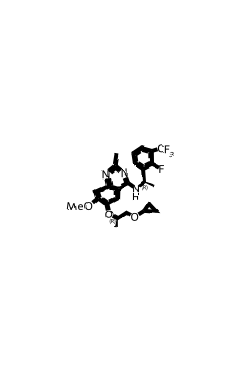 COc1cc2nc(C)nc(N[C@H](C)c3cccc(C(F)(F)F)c3F)c2cc1O[C@H](C)COC1CC1